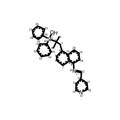 CC(C)(Cc1cccc2c(/N=C/c3ccncc3)cccc12)[Si](O)(c1ccccc1)c1ccccc1